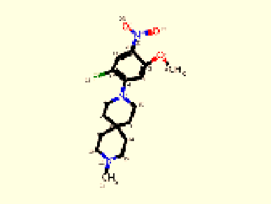 COc1cc(N2CCC3(CCN(C)CC3)CC2)c(F)cc1[N+](=O)[O-]